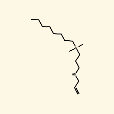 C=CCNCCC[N+](C)(C)CCCCCCCC